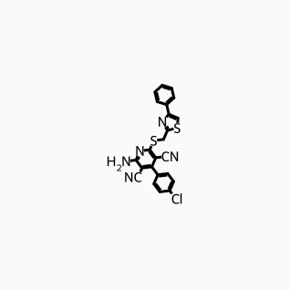 N#Cc1c(N)nc(SCc2nc(-c3ccccc3)cs2)c(C#N)c1-c1ccc(Cl)cc1